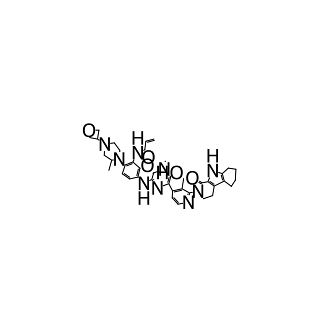 C=CC(=O)Nc1cc(Nc2nc(-c3ccnc(N4CCc5c([nH]c6c5CCCC6)C4=O)c3CO)cn(C)c2=O)ccc1N1CCN(C2COC2)CC1C